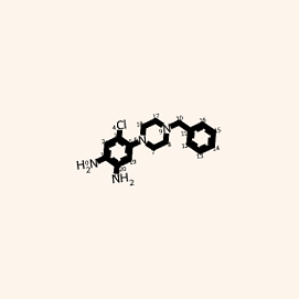 Nc1cc(Cl)c(N2CCN(Cc3ccccc3)CC2)cc1N